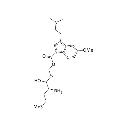 COc1ccc2c(c1)c(CCN(C)C)cn2C(=O)OCOC(O)C(N)CCSC